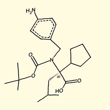 CC(C)C[C@@](C(=O)O)(C1CCCC1)N(Cc1ccc(N)cc1)C(=O)OC(C)(C)C